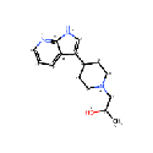 CC(O)CN1CCC(c2c[nH]c3ncccc23)CC1